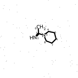 [CH2]C(=N)N1CCCCC1